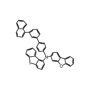 c1cc(-c2ccc(N(c3ccc4c(c3)oc3ccccc34)c3cccc4sc5ccccc5c34)cc2)cc(-c2cccc3ccccc23)c1